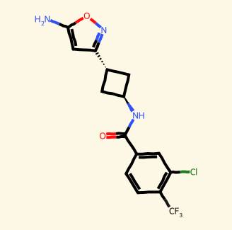 Nc1cc([C@H]2C[C@H](NC(=O)c3ccc(C(F)(F)F)c(Cl)c3)C2)no1